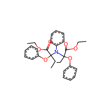 CCOC(=O)C(CC)(Oc1ccccc1)N(c1ccccc1)C(CC)(Oc1ccccc1)C(=O)OCC